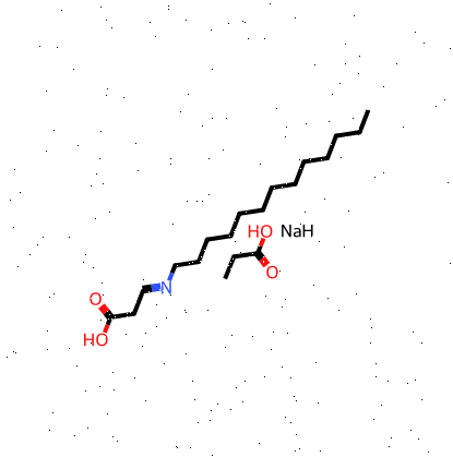 CCC(=O)O.CCCCCCCCCCCCCN=CCC(=O)O.[NaH]